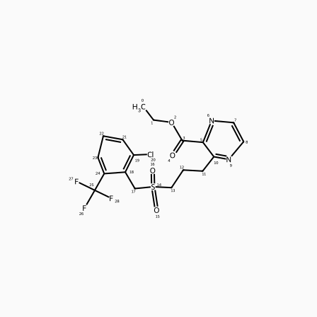 CCOC(=O)c1nccnc1CCCS(=O)(=O)Cc1c(Cl)cccc1C(F)(F)F